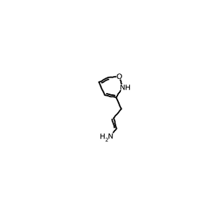 NC=CCC1=CC=CON1